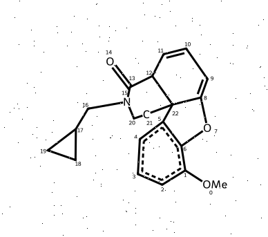 COc1cccc2c1OC1=CC=CC3C(=O)N(CC4CC4)CCC123